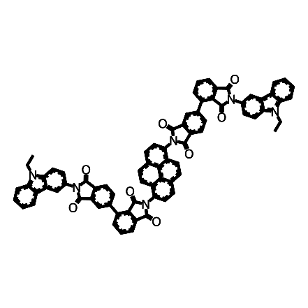 CCn1c2ccccc2c2cc(N3C(=O)c4ccc(-c5cccc6c5C(=O)N(c5ccc7ccc8c(N9C(=O)c%10ccc(-c%11cccc%12c%11C(=O)N(c%11ccc%13c(c%11)c%11ccccc%11n%13CC)C%12=O)cc%10C9=O)ccc9ccc5c7c98)C6=O)cc4C3=O)ccc21